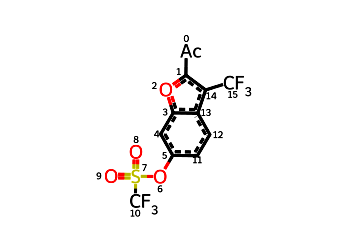 CC(=O)c1oc2cc(OS(=O)(=O)C(F)(F)F)ccc2c1C(F)(F)F